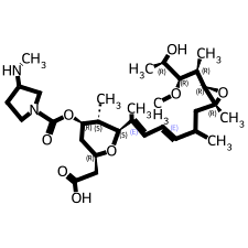 CNC1CCN(C(=O)O[C@@H]2C[C@H](CC(=O)O)O[C@H](/C(C)=C/C=C/C(C)C[C@@]3(C)O[C@@H]3[C@H](C)[C@@H](OC)[C@@H](C)O)[C@H]2C)C1